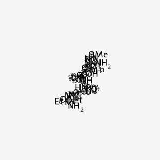 CCOc1nc(N)nc2c1ncn2[C@@H]1O[C@H](COP(=O)(NCCNP(=O)(OC[C@H]2O[C@@H](n3cnc4c(OC)nc(N)nc43)[C@](C)(O)[C@@H]2O)Oc2ccccc2)Oc2ccccc2)CC1CC